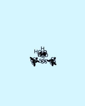 CCO[Si](CCCSSSSCCC[Si](OCC)(OCC)OCC)(OCC)OCC.O=S(=O)(O)[SiH2]S(=O)(=O)O